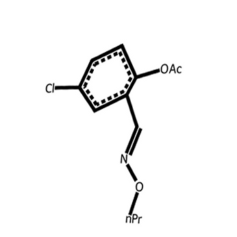 CCCON=Cc1cc(Cl)ccc1OC(C)=O